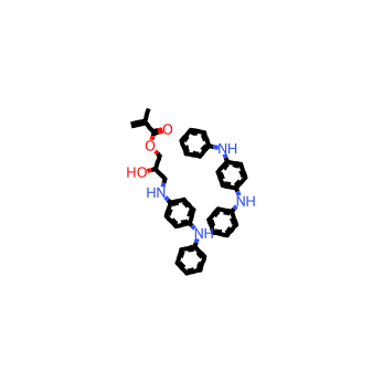 C=C(C)C(=O)OCC(O)CNc1ccc(Nc2ccccc2)cc1.c1ccc(Nc2ccc(Nc3ccccc3)cc2)cc1